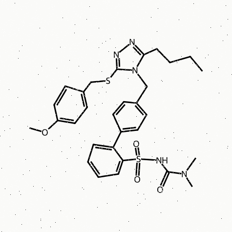 CCCCc1nnc(SCc2ccc(OC)cc2)n1Cc1ccc(-c2ccccc2S(=O)(=O)NC(=O)N(C)C)cc1